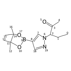 CCC(C(C)=O)n1cc(B2OC(C)(C)C(C)(C)O2)cn1